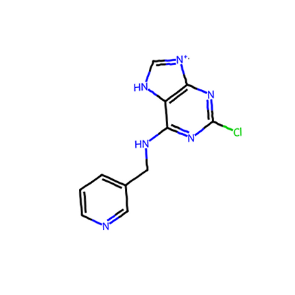 Clc1nc2c(c(NCc3cccnc3)n1)NC=[N+]2